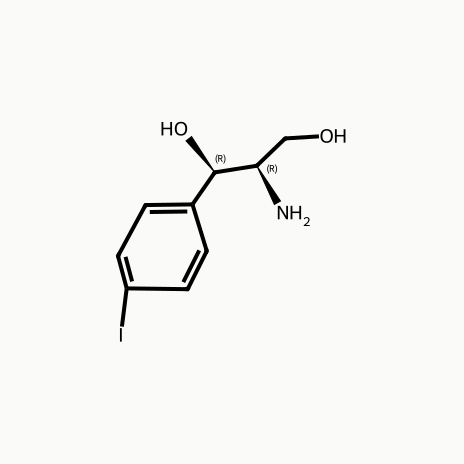 N[C@H](CO)[C@H](O)c1ccc(I)cc1